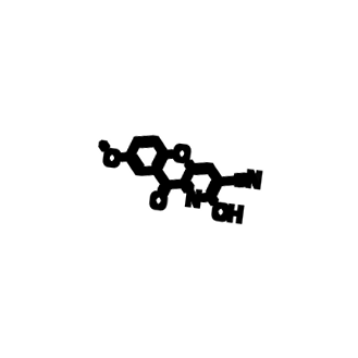 COc1ccc2oc3cc(C#N)c(O)nc3c(=O)c2c1